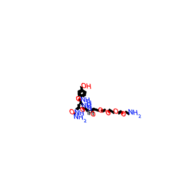 CC(C)[C@H](NC(=O)CCOCCOCCOCCOCCN)C(=O)N[C@@H](CCCNC(N)=O)C(=O)Nc1ccc(CO)cc1